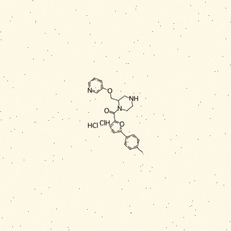 Cc1ccc(-c2ccc(C(=O)N3CCNCC3COc3cccnc3)o2)cc1.Cl.Cl